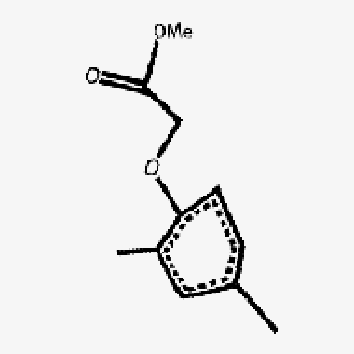 COC(=O)COc1ccc(C)cc1C